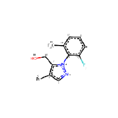 CC(C)c1cnn(-c2c(F)cccc2C(F)(F)F)c1CO